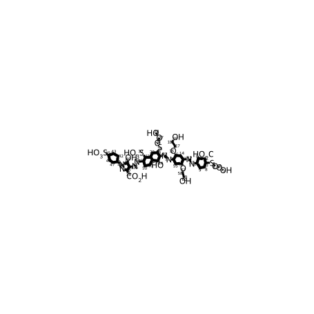 O=C(O)c1cc(SOOO)ccc1N=Nc1cc(OCCO)c(N=Nc2c(SOOO)cc3c(S(=O)(=O)O)c(N=Nc4c(C(=O)O)nn(-c5ccc(S(=O)(=O)O)cc5)c4O)ccc3c2O)cc1OCCO